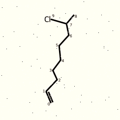 C=CCCCCCC(C)Cl